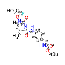 CC1=C[C@H]2CN(C(=O)N2O[C@H](F)C(=O)O)[C@@H]1C(=O)Nc1ccc(CNC(=O)OC(C)(C)C)cc1